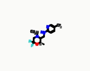 C[C@@H]1OC(F)(F)CN(C(=O)O)C1CNc1ccc(C(F)(F)F)cn1